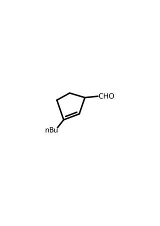 CCCCC1=CC(C=O)CC1